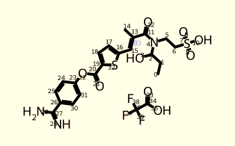 CCC(O)N(CCS(=O)(=O)O)C(=O)/C(C)=C/c1ccc(C(=O)Oc2ccc(C(=N)N)cc2)s1.O=C(O)C(F)(F)F